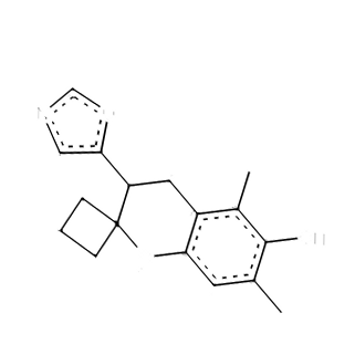 Cc1cc2c(c(C)c1O)CC(c1cnco1)C1(CCC1)O2